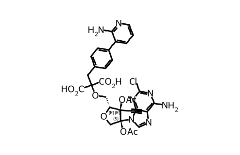 C#C[C@@]1(OC(C)=O)[C@@H](COC(Cc2ccc(-c3cccnc3N)cc2)(C(=O)O)C(=O)O)OC[C@@]1(OC(C)=O)n1cnc2c(N)nc(Cl)nc21